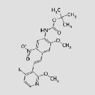 COc1cc(C=Cc2c(I)ccnc2OC)c([N+](=O)[O-])cc1NC(=O)OC(C)(C)C